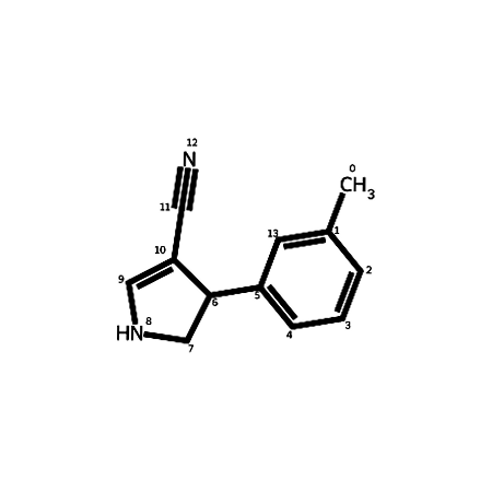 Cc1cccc(C2CNC=C2C#N)c1